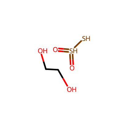 O=[SH](=O)S.OCCO